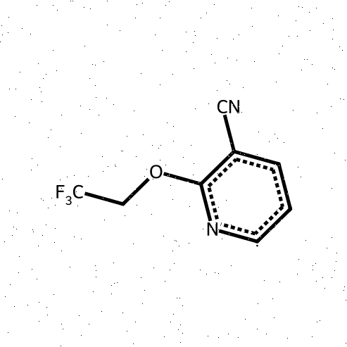 N#Cc1cc[c]nc1OCC(F)(F)F